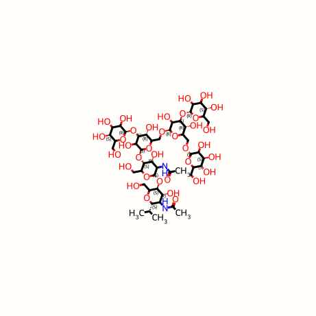 CC(=O)NC1[C@H](O[C@@H]2C(CO)O[C@@H](C(C)C)C(NC(C)=O)[C@H]2O)OC(CO)[C@@H](O[C@@H]2OC(CO[C@@H]3OC(CO[C@H]4OC(CO)[C@@H](O)[C@H](O)C4O)[C@@H](O)[C@H](O[C@H]4OC(CO)[C@@H](O)C(O)C4O)C3O)[C@@H](O)[C@H](O[C@H]3OC(CO)[C@@H](O)C(O)C3O)C2O)[C@@H]1O